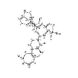 C=CC(=C)N1CC/C=C(\C2CN(C3=CC(=C)C(C(F)(F)F)=NC(N4CCC(C5=C(C)C=NCC(C)C5)[C@H](C)C4C)=C3)C2)CCC1